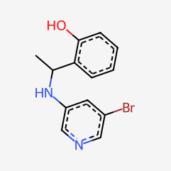 CC(Nc1cncc(Br)c1)c1ccccc1O